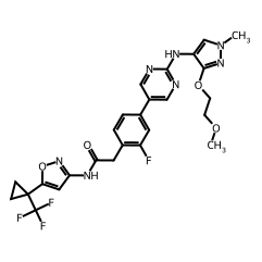 COCCOc1nn(C)cc1Nc1ncc(-c2ccc(CC(=O)Nc3cc(C4(C(F)(F)F)CC4)on3)c(F)c2)cn1